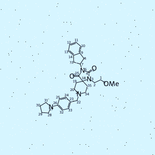 COCCN1C(=O)N(C2Cc3ccccc3C2)C(=O)C12CCN(Cc1ccc(N3CCCC3)cc1)CC2